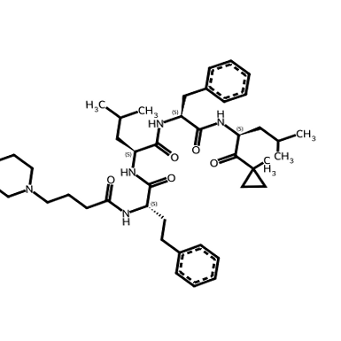 CC(C)C[C@H](NC(=O)[C@H](CCc1ccccc1)NC(=O)CCCN1CCCCC1)C(=O)N[C@@H](Cc1ccccc1)C(=O)N[C@@H](CC(C)C)C(=O)C1(C)CC1